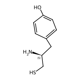 N[C@H](CS)Cc1ccc(O)cc1